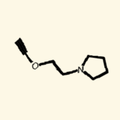 C#COCCN1CCCC1